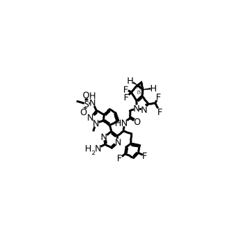 Cn1nc(NS(C)(=O)=O)c2cccc(-c3nc(N)cnc3C(Cc3cc(F)cc(F)c3)NC(=O)Cn3nc(C(F)F)c4c3C(F)(F)[C@@H]3C[C@H]43)c21